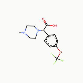 CN1CCN(C(C(=O)O)c2ccc(OC(F)(F)F)cc2)CC1